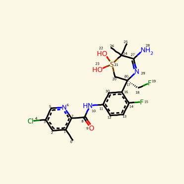 Cc1cc(Cl)cnc1C(=O)Nc1ccc(F)c([C@@]2(CF)CS(O)(O)C(C)(C)C(N)=N2)c1